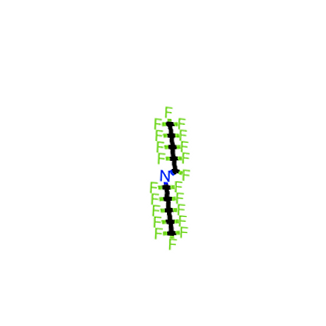 FC(=NC(F)(F)C(F)(F)C(F)(F)C(F)(F)C(F)(F)F)C(F)(F)C(F)(F)C(F)(F)C(F)(F)F